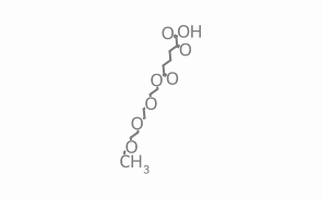 CCOCCOCCOCCOC(=O)CCCC(=O)C(=O)O